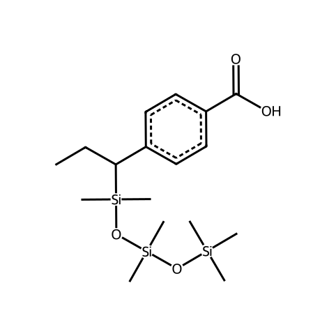 CCC(c1ccc(C(=O)O)cc1)[Si](C)(C)O[Si](C)(C)O[Si](C)(C)C